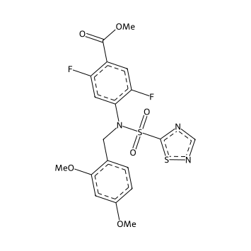 COC(=O)c1cc(F)c(N(Cc2ccc(OC)cc2OC)S(=O)(=O)c2ncns2)cc1F